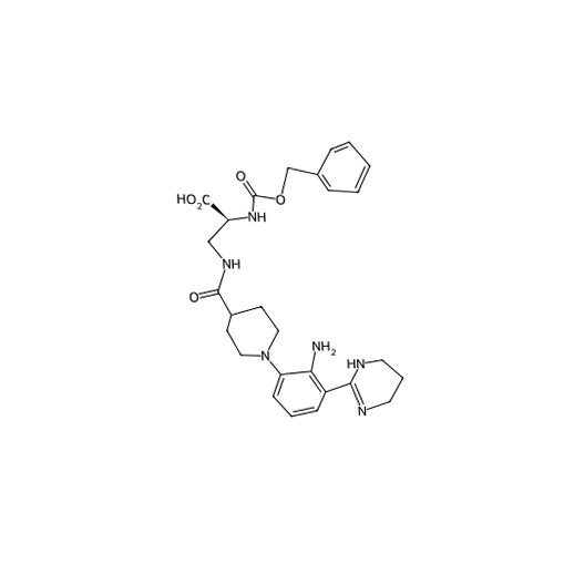 Nc1c(C2=NCCCN2)cccc1N1CCC(C(=O)NC[C@H](NC(=O)OCc2ccccc2)C(=O)O)CC1